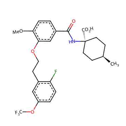 COc1ccc(C(=O)N[C@]2(C(=O)O)CC[C@H](C)CC2)cc1OCCc1cc(OC(F)(F)F)ccc1F